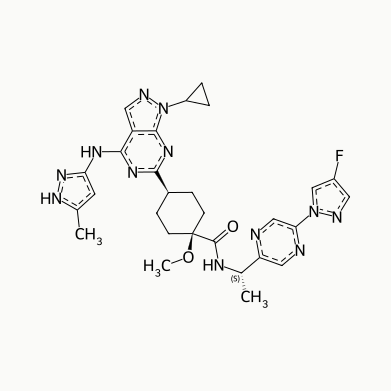 CO[C@]1(C(=O)N[C@@H](C)c2cnc(-n3cc(F)cn3)cn2)CC[C@H](c2nc(Nc3cc(C)[nH]n3)c3cnn(C4CC4)c3n2)CC1